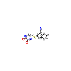 N#Cc1cc(SCc2c[nH]c(=O)c(=O)[nH]2)cc2ccccc12